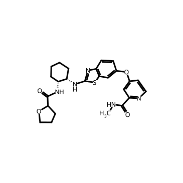 CNC(=O)c1cc(Oc2ccc3nc(N[C@H]4CCCC[C@H]4NC(=O)C4CCCO4)sc3c2)ccn1